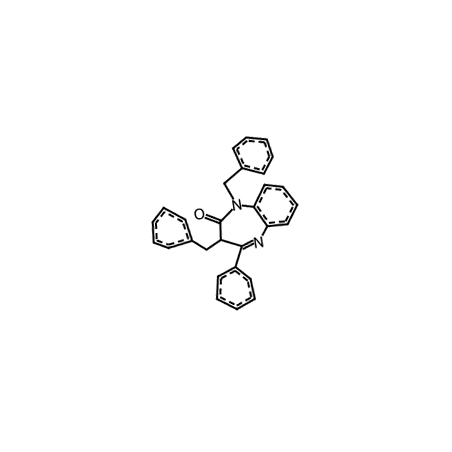 O=C1C(Cc2ccccc2)C(c2ccccc2)=Nc2ccccc2N1Cc1ccccc1